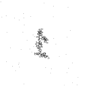 C=C1/C(=C/C=C2\CCC[C@]3(C)[C@@H](C(C)(C)/C=C/C(O)C(C)(C)OC(=O)OCC)CC[C@@H]23)C[C@@H](O[Si](C)(C)C(C)(C)C)C[C@@H]1O[Si](C)(C)C(C)(C)C